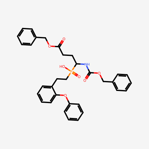 O=C(CCC(NC(=O)OCc1ccccc1)P(=O)(O)CCc1ccccc1Oc1ccccc1)OCc1ccccc1